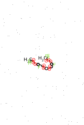 C=C(C(=O)OCOc1ccc(/C=C\C(=O)OC2CCC(OC(=O)/C=C/c3ccc(OCOC(=O)C(=C)C(F)(F)F)cc3F)CC2)c(F)c1)C(F)(F)F